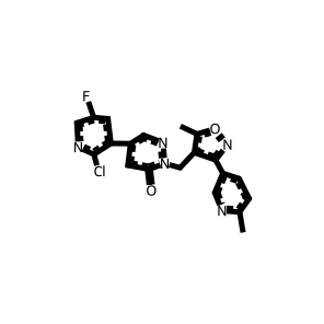 Cc1ccc(-c2noc(C)c2Cn2ncc(-c3cc(F)cnc3Cl)cc2=O)cn1